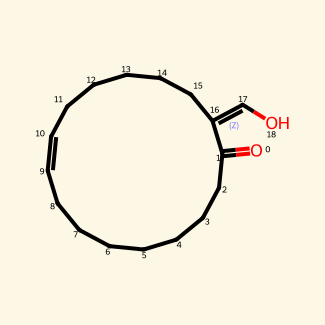 O=C1CCCCCCCC=CCCCCC/C1=C/O